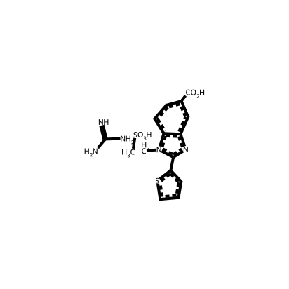 CS(=O)(=O)O.Cn1c(-c2cccs2)nc2cc(C(=O)O)ccc21.N=C(N)N